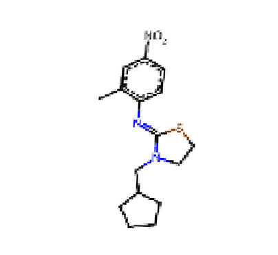 Cc1cc([N+](=O)[O-])ccc1N=C1SCCN1CC1CCCC1